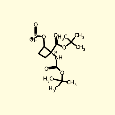 CC(C)(C)OC(=O)N[C@@]1(C(=O)OC(C)(C)C)CCC1O[SH](=O)=O